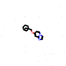 c1cn2ccc(OCC34CCCC(C3)C4)cc2n1